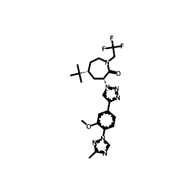 COc1cc(-c2cn([C@@H]3C[C@H](C(C)(C)C)CCN(CC(F)(F)F)C3=O)nn2)ccc1-n1cnc(C)n1